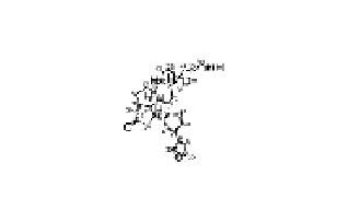 C[C@]12C[C@H](c3ccc(-c4ccoc4)cc3)[C@H]3[C@@H](CCC4=CC(=O)CC[C@@H]43)[C@H]1CC[C@]2(O)CCCO